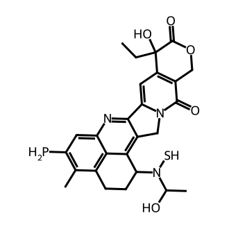 CCC1(O)C(=O)OCc2c1cc1n(c2=O)Cc2c-1nc1cc(P)c(C)c3c1c2C(N(S)C(C)O)CC3